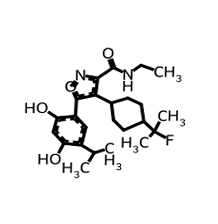 CCNC(=O)c1noc(-c2cc(C(C)C)c(O)cc2O)c1C1CCC(C(C)(C)F)CC1